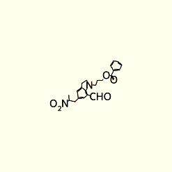 CC(Cc1cc(C=O)c2c(c1)CCN2CCCOC(=O)c1ccccc1)[N+](=O)[O-]